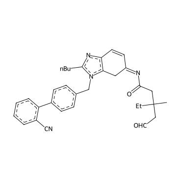 CCCCc1nc2c(n1Cc1ccc(-c3ccccc3C#N)cc1)CC(=NC(=O)CC(C)(CC)CC=O)C=C2